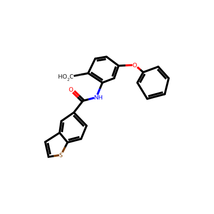 O=C(Nc1cc(Oc2ccccc2)ccc1C(=O)O)c1ccc2sccc2c1